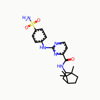 CC1(C)C2CCC1(C)C(NC(=O)c1ccnc(Nc3ccc(S(N)(=O)=O)cc3)n1)C2